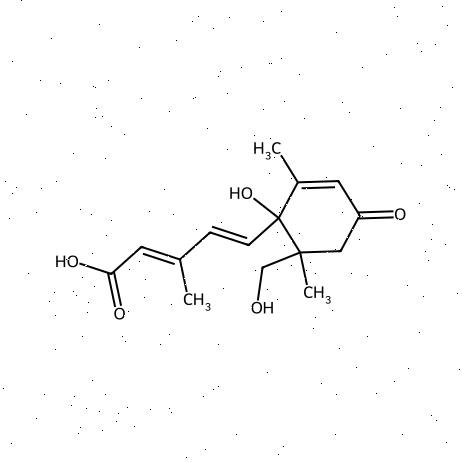 CC1=CC(=O)CC(C)(CO)C1(O)/C=C/C(C)=C/C(=O)O